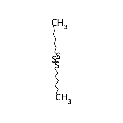 CCCCCCCCSSSCCCCCCCC